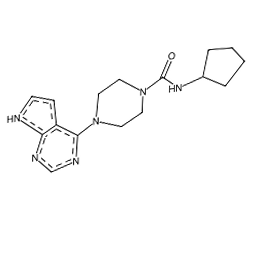 O=C(NC1CCCC1)N1CCN(c2ncnc3[nH]ccc23)CC1